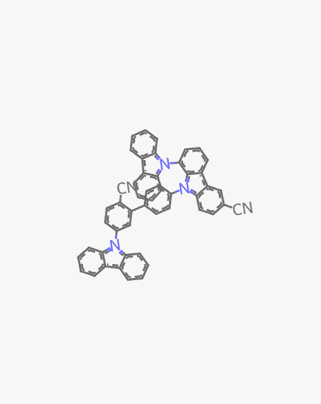 N#Cc1ccc2c(c1)c1cccc(-n3c4ccccc4c4ccccc43)c1n2-c1ccc(-c2cc(-n3c4ccccc4c4ccccc43)ccc2C#N)cc1